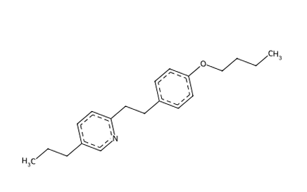 CCCCOc1ccc(CCc2ccc(CCC)cn2)cc1